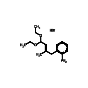 Br.CCOC(C=C(C)Cc1ccccc1P)OCC